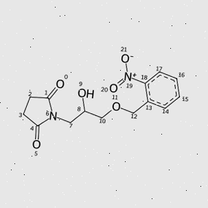 O=C1CCC(=O)N1CC(O)COCc1ccccc1[N+](=O)[O-]